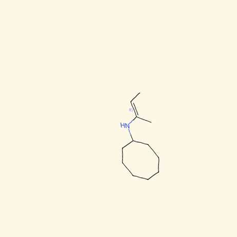 C/C=C(\C)NC1CCCCCCC1